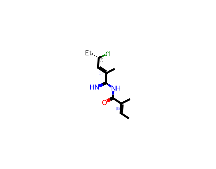 C/C=C(\C)C(=O)NC(=N)/C(C)=C/[C@@H](Cl)CC